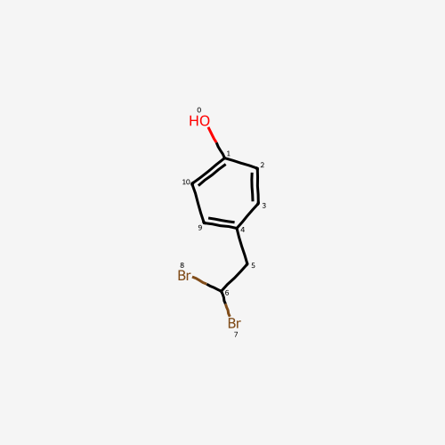 Oc1ccc(CC(Br)Br)cc1